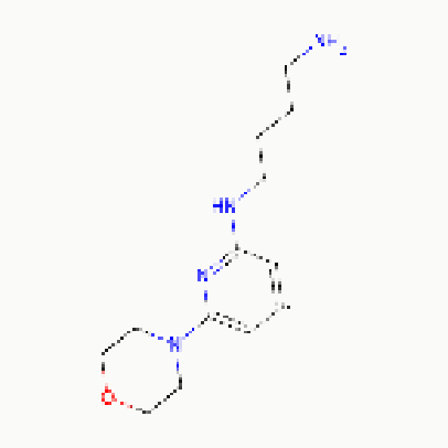 NCCCCNc1c[c]cc(N2CCOCC2)n1